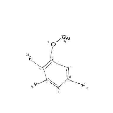 CC(C)(C)Oc1cc(F)nc(F)c1F